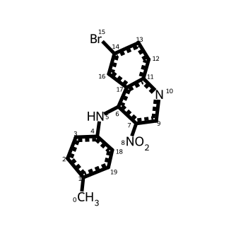 Cc1ccc(Nc2c([N+](=O)[O-])cnc3ccc(Br)cc23)cc1